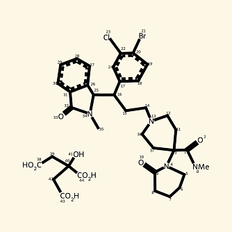 CNC(=O)C1(N2CCCCC2=O)CCN(CCC(c2ccc(Br)c(Cl)c2)C2c3ccccc3C(=O)N2C)CC1.O=C(O)CC(O)(CC(=O)O)C(=O)O